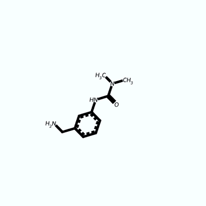 CN(C)C(=O)Nc1cccc(CN)c1